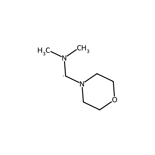 CN(C)[CH]N1CCOCC1